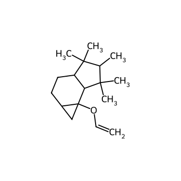 C=COC12CC1CCC1C2C(C)(C)C(C)C1(C)C